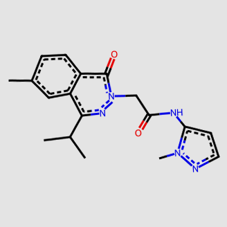 Cc1ccc2c(=O)n(CC(=O)Nc3ccnn3C)nc(C(C)C)c2c1